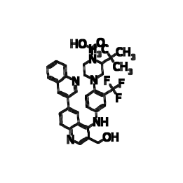 CC(C)(C)C1CN(c2ccc(Nc3c(CO)cnc4ccc(-c5cnc6ccccc6c5)cc34)cc2C(F)(F)F)CCN1C(=O)O